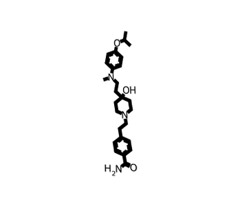 CC(C)Oc1ccc(N(C)CCC2(O)CCN(CCc3ccc(C(N)=O)cc3)CC2)cc1